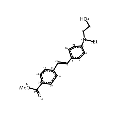 CCN(CCO)c1ccc(C=Cc2ccc(C(=O)OC)cc2)cc1